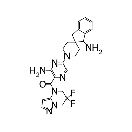 Nc1nc(N2CCC3(CC2)Cc2ccccc2C3N)cnc1C(=O)N1CC(F)(F)Cn2nccc21